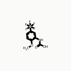 COc1ccc(S(F)(F)(F)(F)F)cc1NC(=O)O